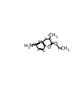 CCOC(=O)C(C)Cc1cccc(N)c1